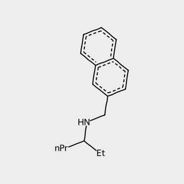 CCCC(CC)NCc1ccc2ccccc2c1